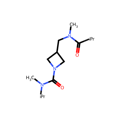 CC(C)C(=O)N(C)CC1CN(C(=O)N(C)C(C)C)C1